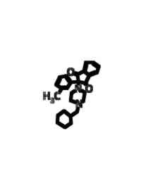 Cc1cccc(C2(N3CCN(CC4CCCCC4)CC3)C(=O)c3ccccc3C2=O)c1